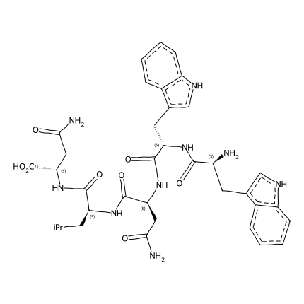 CC(C)C[C@H](NC(=O)[C@H](CC(N)=O)NC(=O)[C@H](Cc1c[nH]c2ccccc12)NC(=O)[C@@H](N)Cc1c[nH]c2ccccc12)C(=O)N[C@@H](CC(N)=O)C(=O)O